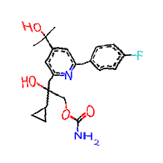 CC(C)(O)c1cc(-c2ccc(F)cc2)nc(C(O)(COC(N)=O)C2CC2)c1